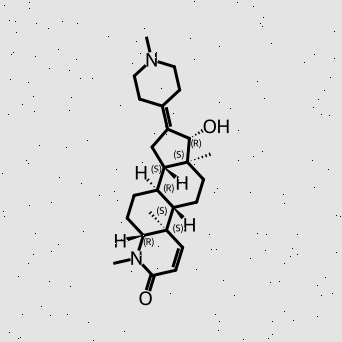 CN1CCC(=C2C[C@H]3[C@@H]4CC[C@H]5N(C)C(=O)C=C[C@]5(C)[C@H]4CC[C@]3(C)[C@H]2O)CC1